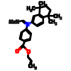 C=CCOC(=O)c1ccc([N+](=CNC)c2ccc3c(c2)C(C)(C)CCC3(C)C)cc1